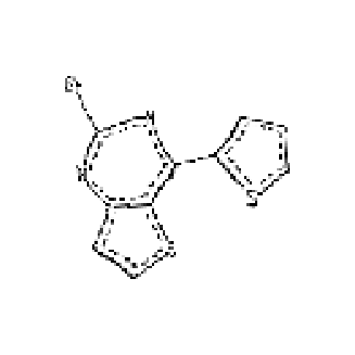 CCc1nc(-c2cccs2)c2sccc2n1